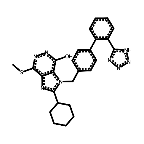 CSc1nnc(O)c2c1nc(C1CCCCC1)n2Cc1ccc(-c2ccccc2-c2nnn[nH]2)cc1